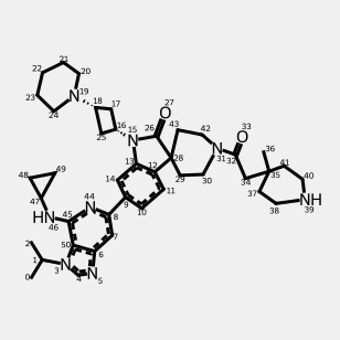 CC(C)n1cnc2cc(-c3ccc4c(c3)N([C@H]3C[C@@H](N5CCCCC5)C3)C(=O)C43CCN(C(=O)CC4(C)CCNCC4)CC3)nc(NC3CC3)c21